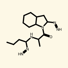 CCCC(N=N)NC(C)C(=O)N1C(N=N)CC2CCCCC21